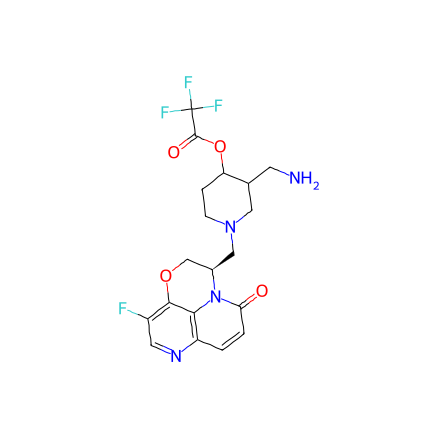 NCC1CN(C[C@@H]2COc3c(F)cnc4ccc(=O)n2c34)CCC1OC(=O)C(F)(F)F